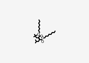 CCCCCCCCOC(=O)C(CC(C)C)=C(CC(C)(C)C)C(=O)OCCCCCCCC